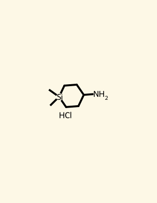 C[Si]1(C)CCC(N)CC1.Cl